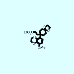 CCOC(=O)CCC1(c2ccc(OC)c3c2OCCO3)CCC2(CC1)OCCO2